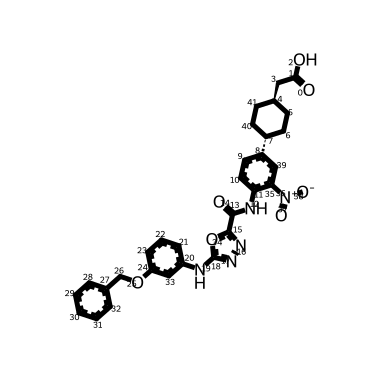 O=C(O)C[C@H]1CC[C@H](c2ccc(NC(=O)c3nnc(Nc4cccc(OCc5ccccc5)c4)o3)c([N+](=O)[O-])c2)CC1